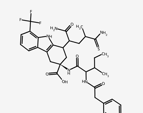 CCC(C)C(NC(=O)Cc1ccccc1F)C(=O)N[C@@]1(C(=O)O)Cc2c([nH]c3c(C(F)(F)F)cccc23)C(C(CC(C)C(N)=S)C(N)=O)C1